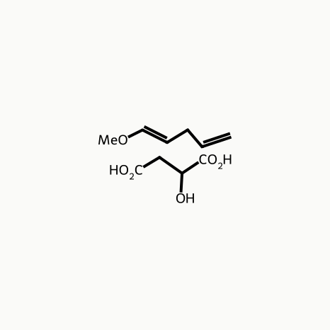 C=CCC=COC.O=C(O)CC(O)C(=O)O